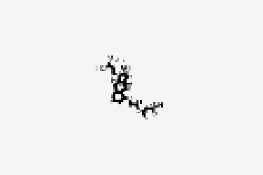 CCCCC[C@H](O)CC[C@@H]1[C@H]2Cc3cccc(OCC(=O)OC(C)CC(N)=O)c3C[C@H]2C[C@H]1O